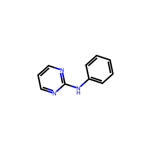 [c]1ccccc1Nc1ncccn1